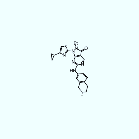 CCn1c(=O)c2cnc(Nc3ccc4c(c3)CNCC4)nc2n1-c1nc(C2CC2)cs1